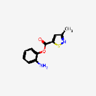 Cc1cc(C(=O)Oc2ccccc2N)sn1